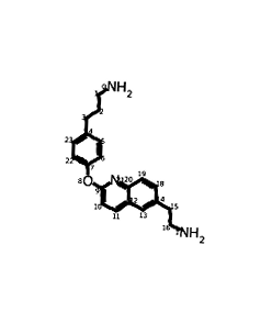 NCCCc1ccc(Oc2ccc3cc(CCN)ccc3n2)cc1